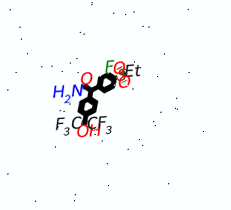 CCS(=O)(=O)c1ccc(C(C(N)=O)c2ccc(C(O)(C(F)(F)F)C(F)(F)F)cc2)cc1F